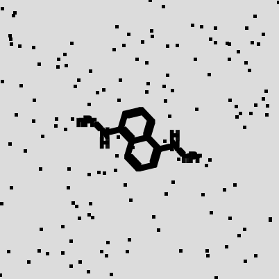 CCCNc1cccc2c(NCCC)cccc12